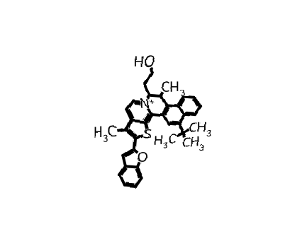 Cc1c(-c2cc3ccccc3o2)sc2c3[n+](ccc12)C(CCO)C(C)c1c-3cc(C(C)(C)C)c2ccccc12